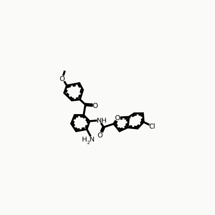 COc1ccc(C(=O)c2cccc(N)c2NC(=O)c2cc3cc(Cl)ccc3o2)cc1